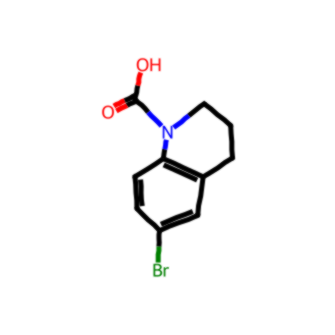 O=C(O)N1CCCc2cc(Br)ccc21